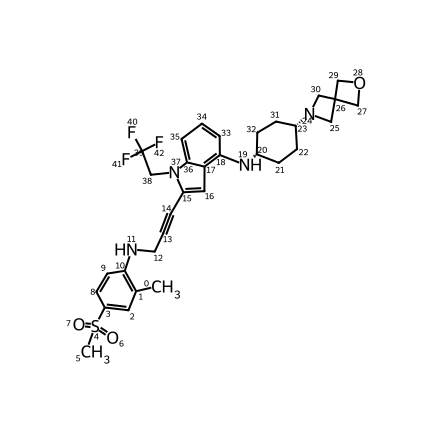 Cc1cc(S(C)(=O)=O)ccc1NCC#Cc1cc2c(N[C@H]3CC[C@@H](N4CC5(COC5)C4)CC3)cccc2n1CC(F)(F)F